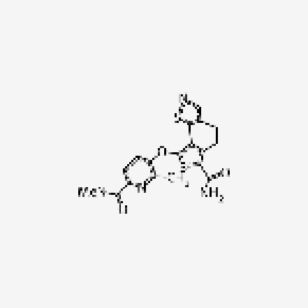 CNC(=O)c1ccc(Oc2sc(C(N)=O)c3c2-c2sncc2CC3)c(C)n1